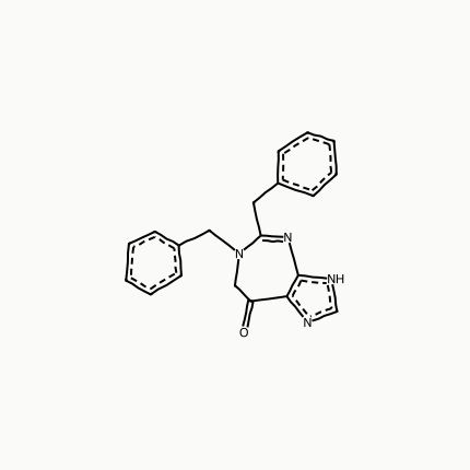 O=C1CN(Cc2ccccc2)C(Cc2ccccc2)=Nc2[nH]cnc21